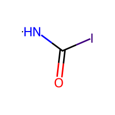 [NH]C(=O)I